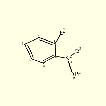 CCC[S+]([O-])c1ccccc1CC